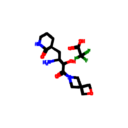 NC(C[C@@H]1CCCNC1=O)C(O)C(=O)N1CC2(COC2)C1.O=C(O)C(F)(F)F